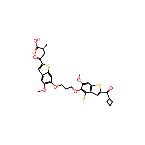 COc1cc2cc(C(=O)C[C@H](C)C(=O)O)sc2cc1OCCCOc1c(OC)cc2sc(C(=O)C3CCC3)cc2c1F